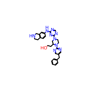 OCCC1CN(c2ncnc(Nc3ccc4c(c3)CNCC4)n2)CCN1c1ncc(Cc2ccccc2)cn1